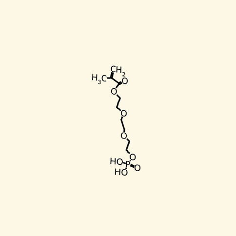 C=C(C)C(=O)OCCOCCOCCOP(=O)(O)O